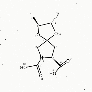 C[C@@H]1OC2(C[C@@H](C(=O)O)N(C(=O)O)C2)O[C@H]1C